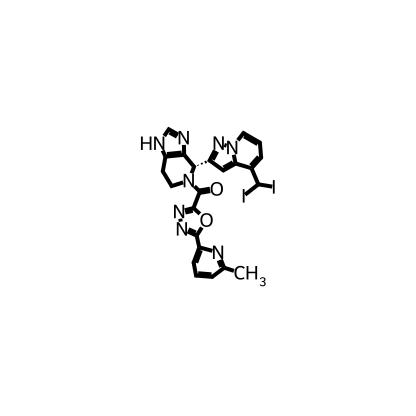 Cc1cccc(-c2nnc(C(=O)N3CCc4[nH]cnc4[C@@H]3c3cc4c(C(I)I)cccn4n3)o2)n1